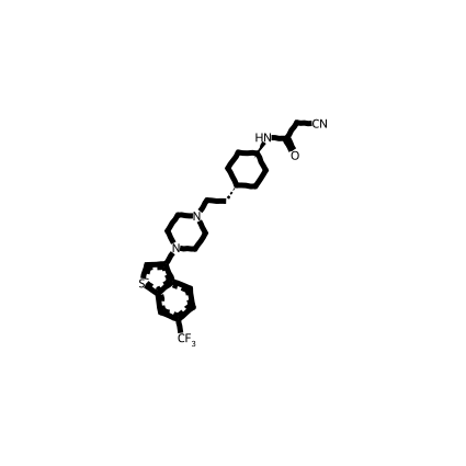 N#CCC(=O)N[C@H]1CC[C@H](CCN2CCN(c3csc4cc(C(F)(F)F)ccc34)CC2)CC1